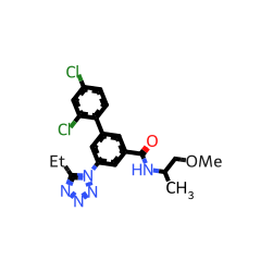 CCc1nnnn1-c1cc(C(=O)NC(C)COC)cc(-c2ccc(Cl)cc2Cl)c1